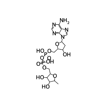 CC1OC(COP(=O)(O)OP(=O)(O)OCC2OC(n3cnc4c(N)ncnc43)CC2O)C(O)C1O